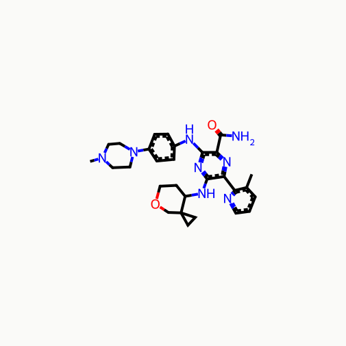 Cc1cccnc1-c1nc(C(N)=O)c(Nc2ccc(N3CCN(C)CC3)cc2)nc1NC1CCOCC12CC2